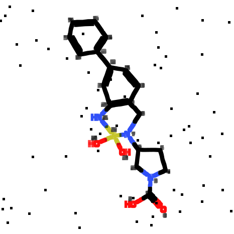 O=C(O)N1CCC(N2Cc3ccc(-c4ccccc4)cc3NS2(O)O)C1